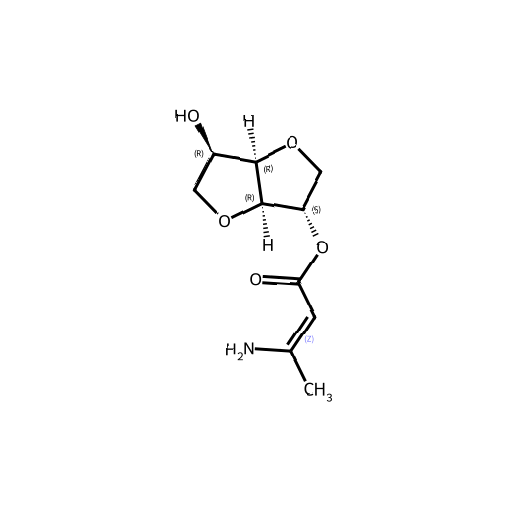 C/C(N)=C/C(=O)O[C@H]1CO[C@H]2[C@@H]1OC[C@H]2O